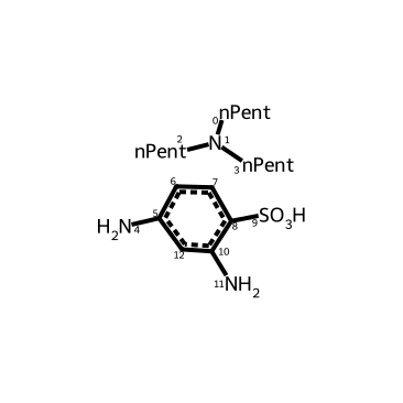 CCCCCN(CCCCC)CCCCC.Nc1ccc(S(=O)(=O)O)c(N)c1